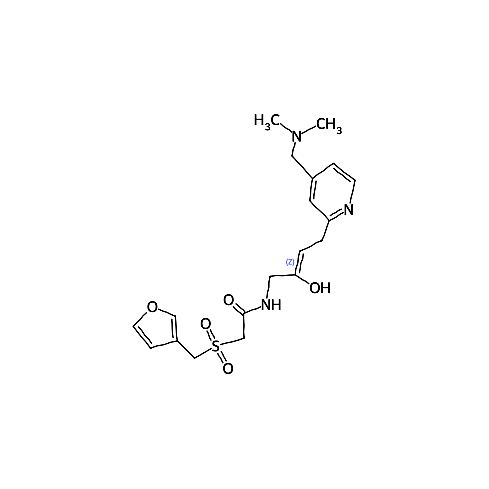 CN(C)Cc1ccnc(C/C=C(\O)CNC(=O)CS(=O)(=O)Cc2ccoc2)c1